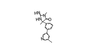 Cc1cncc(-c2cccc(C3(C)NC(=N)N(C)C3=O)c2)c1